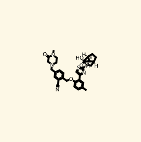 Cc1ccc(OCc2ccc(CN3CCN(C)C(=O)C3)cc2C#N)c(-c2csc(N3C[C@H]4CC[C@@H](C3)[C@H]4C(=O)O)n2)c1